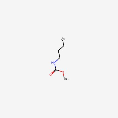 CC(=O)CCCNC(=O)OC(C)(C)C